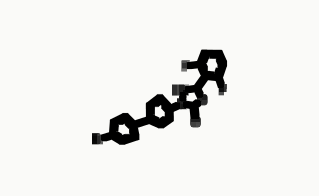 O=C1OC(c2c(F)cccc2F)NN1c1ccc(-c2ccc(Br)cc2)cc1